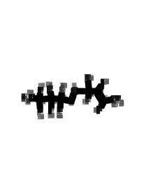 FC(=C(F)C(F)(F)OCC(F)(F)C(F)(F)C(F)(F)C(F)(F)F)C(F)(F)F